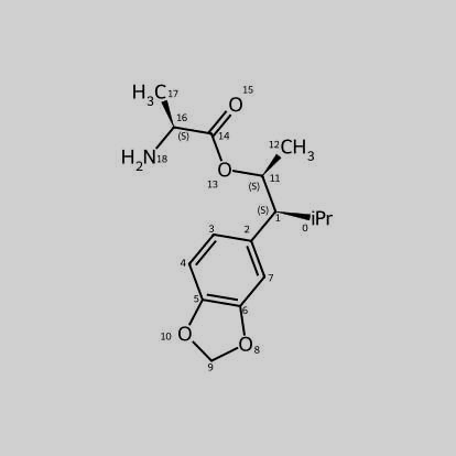 CC(C)[C@@H](c1ccc2c(c1)OCO2)[C@H](C)OC(=O)[C@H](C)N